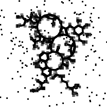 CCCCCCNC(=O)Oc1cc(O)c2c(c1)[C@@H](C(=O)NCCCN(C)C)NC(=O)[C@H]1NC(=O)[C@H](NC(=O)[C@@H]3NC(=O)[C@H](CC(N)=O)NC(=O)[C@H](NC(=O)[C@@H](CC(C)C)NC)[C@H](O)c4ccc(c(Cl)c4)Oc4cc3cc(c4O[C@@H]3O[C@H](CO)[C@@H](O)[C@H](O)[C@H]3O)Oc3ccc(cc3Cl)[C@H]1O)c1ccc(O)c-2c1